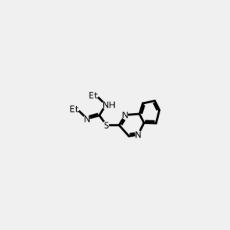 CCN=C(NCC)Sc1cnc2ccccc2n1